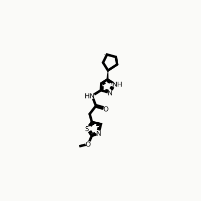 COc1ncc(CC(=O)Nc2cc([C@H]3C[CH]CC3)[nH]n2)s1